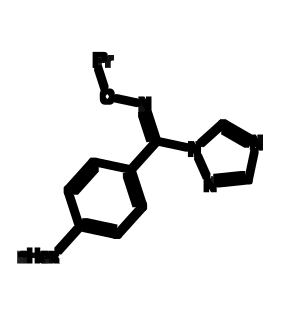 CCCCCCc1ccc(/C(=N\OC(C)C)n2cncn2)cc1